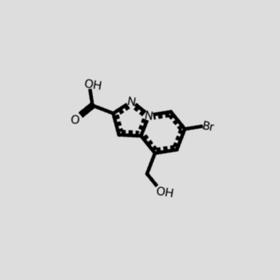 O=C(O)c1cc2c(CO)cc(Br)cn2n1